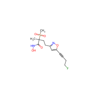 CC(CCc1cc(C#CCCF)on1)(C(=O)NO)S(C)(=O)=O